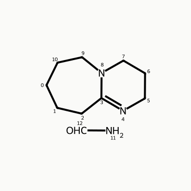 C1CCC2=NCCCN2CC1.NC=O